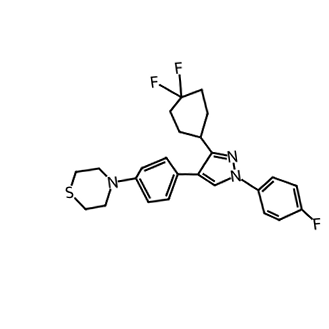 Fc1ccc(-n2cc(-c3ccc(N4CCSCC4)cc3)c(C3CCC(F)(F)CC3)n2)cc1